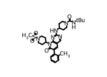 Cc1ccccc1-c1cc2cnc(NC3CCN(C(=O)NC(C)(C)C)CC3)nc2n(C2CCN(S(C)(=O)=O)CC2)c1=O